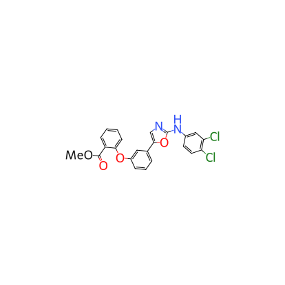 COC(=O)c1ccccc1Oc1cccc(-c2cnc(Nc3ccc(Cl)c(Cl)c3)o2)c1